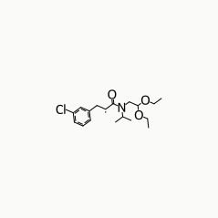 CCOC(CN(C(=O)[CH]Cc1cccc(Cl)c1)C(C)C)OCC